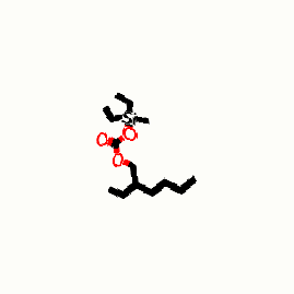 CCCCC(CC)COC(=O)O[Si](C)(CC)CC